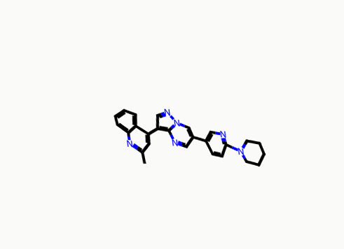 Cc1cc(-c2cnn3cc(-c4ccc(N5CCCCC5)nc4)cnc23)c2ccccc2n1